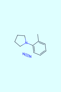 Cc1ccccc1N1CCCC1.N#N